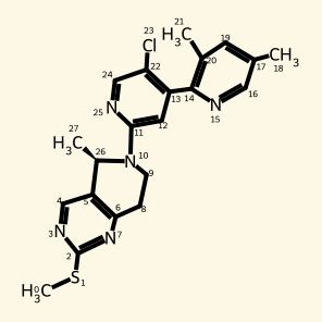 CSc1ncc2c(n1)CCN(c1cc(-c3ncc(C)cc3C)c(Cl)cn1)[C@@H]2C